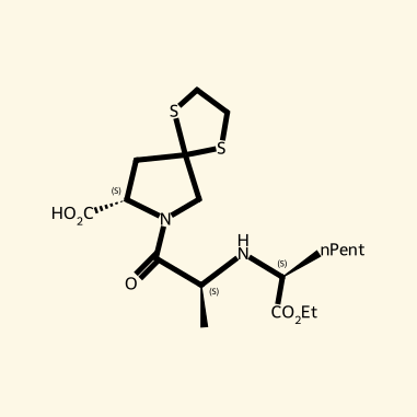 CCCCC[C@H](N[C@@H](C)C(=O)N1CC2(C[C@H]1C(=O)O)SCCS2)C(=O)OCC